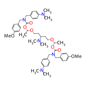 COc1ccc(CN(Cc2ccc(N(C)C)cc2)C(=O)OC(C)OCCC(CCOC(C)OC(=O)N(Cc2ccc(OC)cc2)Cc2ccc(N(C)C)cc2)N(C)C)cc1